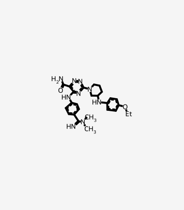 CCOc1ccc(NC2CCCN(c3nnc(C(N)=O)c(Nc4ccc(C(=N)N(C)C)cc4)n3)C2)cc1